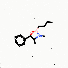 CCCCB1OC(c2ccccc2)C(C)N1C